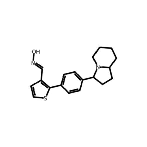 ON=Cc1ccsc1-c1ccc(C2CCC3CCCCN32)cc1